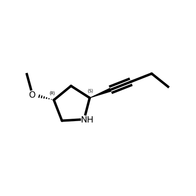 CCC#C[C@@H]1C[C@@H](OC)CN1